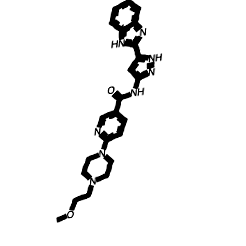 COCCN1CCN(c2ccc(C(=O)Nc3cc(-c4nc5ccccc5[nH]4)[nH]n3)cn2)CC1